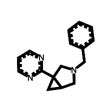 c1ccc(CN2CC3CC3(c3ncccn3)C2)cc1